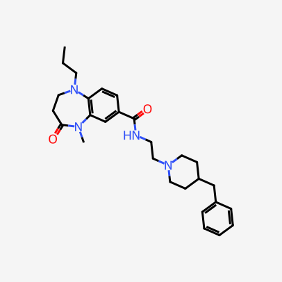 CCCN1CCC(=O)N(C)c2cc(C(=O)NCCN3CCC(Cc4ccccc4)CC3)ccc21